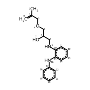 C=C(C)COCC(O)CNc1ccccc1Nc1ccccc1